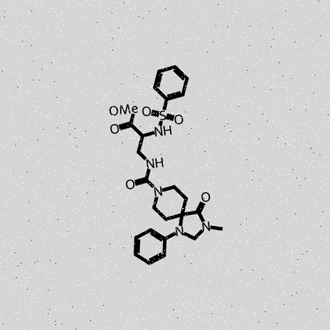 COC(=O)C(CNC(=O)N1CCC2(CC1)C(=O)N(C)CN2c1ccccc1)NS(=O)(=O)c1ccccc1